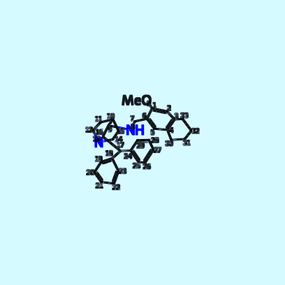 COc1cc2c(cc1CNC1C3CCN(CC3)C1C(c1ccccc1)c1ccccc1)CCCC2